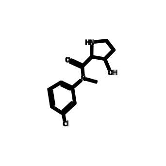 CN(C(=O)C1NCCC1O)c1cccc(Cl)c1